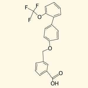 O=C(O)c1cccc(COc2ccc(-c3ccccc3OC(F)(F)F)cc2)c1